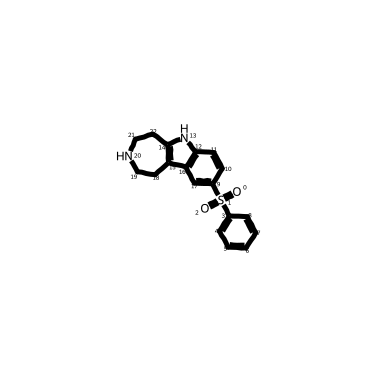 O=S(=O)(c1ccccc1)c1ccc2[nH]c3c(c2c1)CCNCC3